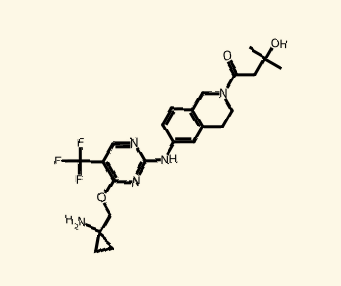 CC(C)(O)CC(=O)N1CCc2cc(Nc3ncc(C(F)(F)F)c(OCC4(N)CC4)n3)ccc2C1